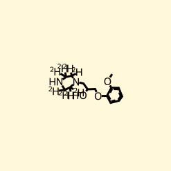 [2H]C1([2H])NC([2H])([2H])C([2H])([2H])N(CC(O)COc2ccccc2OC)C1([2H])[2H]